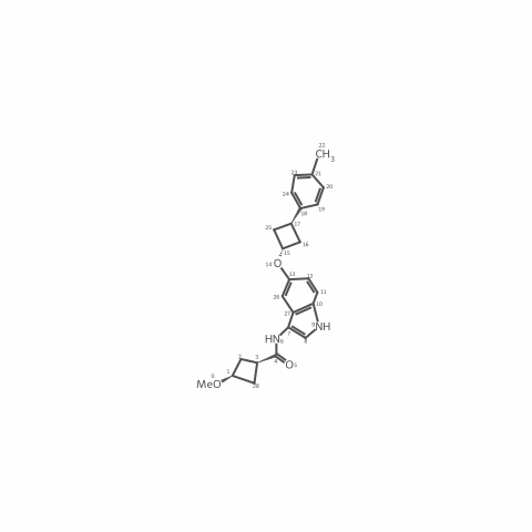 CO[C@H]1C[C@@H](C(=O)Nc2c[nH]c3ccc(O[C@H]4C[C@H](c5ccc(C)cc5)C4)cc23)C1